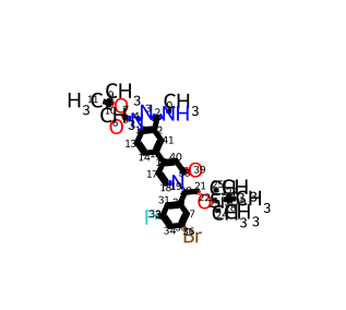 CNc1nn(C(=O)OC(C)(C)C)c2ccc(-c3ccn(C(CO[Si](C)(C)C(C)(C)C)c4cc(F)cc(Br)c4)c(=O)c3)cc12